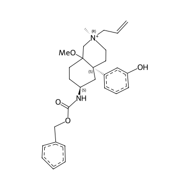 C=CC[N@@+]1(C)CC[C@@]2(c3cccc(O)c3)C[C@@H](NC(=O)OCc3ccccc3)CCC2(OC)C1